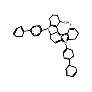 CC1CCCC2=C1C1=c3c4c(n(C5=CC=C(C6C=CC=CC6)CC5)c3=CCC1N2c1ccc(C2=CC=CCC2)cc1)CCC=C4